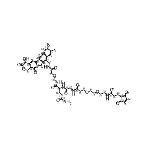 Cc1cc2c(CNC(=O)COCNC(=O)[C@H](CCC(N)=O)NC(=O)CNC(=O)CCOCCOCCNC(=O)CCC3C(=O)C=CC3=O)c3c(nc2cc1F)-c1cc2c(c(=O)n1C3)COC(=O)[C@H]2O